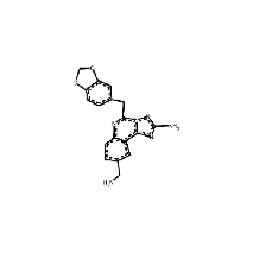 NCc1ccc2nc(Cc3ccc4c(c3)OCO4)n3nc(N)nc3c2c1